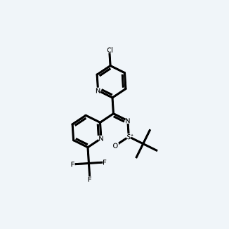 CC(C)(C)[S+]([O-])N=C(c1ccc(Cl)cn1)c1cccc(C(F)(F)F)n1